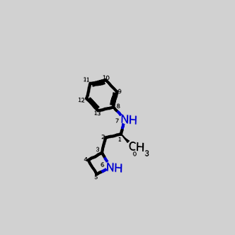 C[C@@H](CC1CCN1)Nc1ccccc1